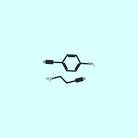 N#CCCN.N#Cc1ccc(N)cc1